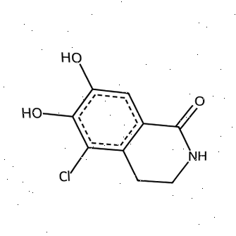 O=C1NCCc2c1cc(O)c(O)c2Cl